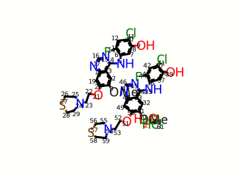 COc1cc2c(Nc3cc(O)c(Cl)cc3F)ncnc2cc1OCCN1CCSCC1.COc1cc2c(Nc3cc(O)c(Cl)cc3F)ncnc2cc1OCCN1CCSCC1.Cl.Cl.O